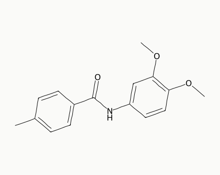 COc1ccc(NC(=O)c2ccc(C)cc2)cc1OC